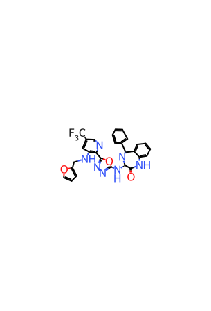 O=C1Nc2ccccc2C(c2ccccc2)=N[C@@H]1Nc1nnc(-c2ncc(C(F)(F)F)cc2NCc2ccco2)o1